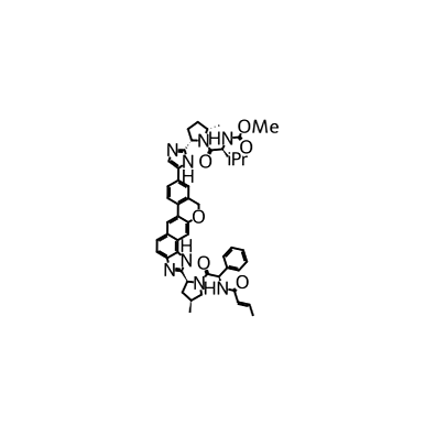 C/C=C/C(=O)N[C@@H](C(=O)N1C[C@@H](C)C[C@H]1c1nc2ccc3cc4c(cc3c2[nH]1)OCc1cc(-c2cnc([C@@H]3CC[C@H](C)N3C(=O)[C@@H](NC(=O)OC)C(C)C)[nH]2)ccc1-4)c1ccccc1